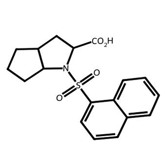 O=C(O)C1CC2CCCC2N1S(=O)(=O)c1cccc2ccccc12